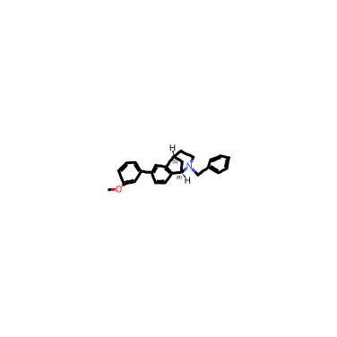 COc1cccc(-c2ccc3c(c2)[C@H]2CCN(Cc4ccccc4)[C@@H]3C2)c1